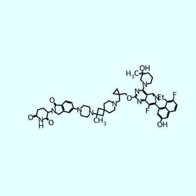 CCc1c(F)ccc2cc(O)cc(-c3ncc4c(N5CCC[C@@](C)(O)C5)nc(OCC5(CN6CCC7(CC6)CC(C)(N6CCN(c8ccc9c(c8)CN(C8CCC(=O)NC8=O)C9=O)CC6)C7)CC5)nc4c3F)c12